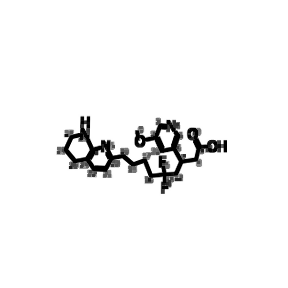 COc1cncc(C(CC(=O)O)CC(F)(F)CCCCc2ccc3c(n2)NCCC3)c1